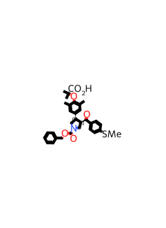 CSc1ccc(C(=O)[C@H]2CN(C(=O)OCc3ccccc3)C[C@@H]2c2cc(C)c(OC(C)(C)C(=O)O)c(C)c2)cc1